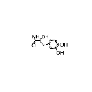 NC(=O)[C@H](O)Cc1ccc(O)c(O)c1